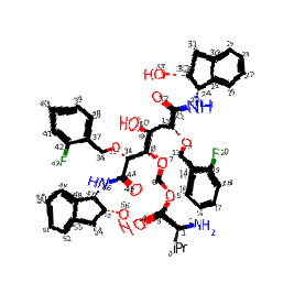 CC(C)[C@H](N)C(=O)OCO[C@H]([C@@H](O)[C@@H](OCc1ccccc1F)C(=O)N[C@H]1c2ccccc2C[C@H]1O)[C@@H](OCc1ccccc1F)C(=O)N[C@H]1c2ccccc2C[C@H]1O